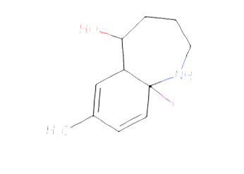 CC1=CC2C(O)CCCNC2(I)C=C1